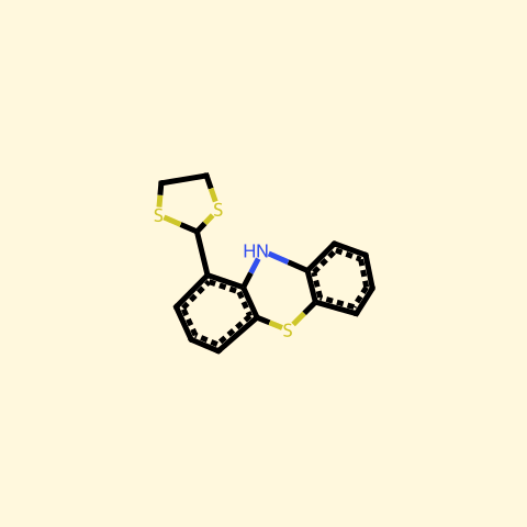 c1ccc2c(c1)Nc1c(cccc1C1SCCS1)S2